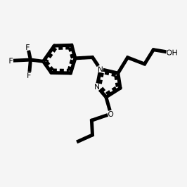 CCCOc1cc(CCCO)n(Cc2ccc(C(F)(F)F)cc2)n1